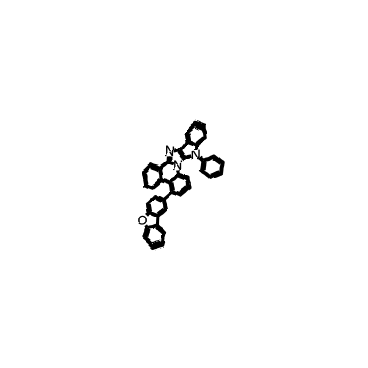 c1ccc(-n2c3ccccc3c3nc4c5ccccc5c5c(-c6ccc7oc8ccccc8c7c6)cccc5n4c32)cc1